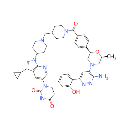 C[C@H]1CN(c2cc(-c3ccccc3O)nnc2N)C[C@@H](c2ccc(C(=O)N3CCC(CN4CCC(n5cc(C6CC6)c6cc(N7CCC(=O)NC7=O)cnc65)CC4)CC3)cc2)O1